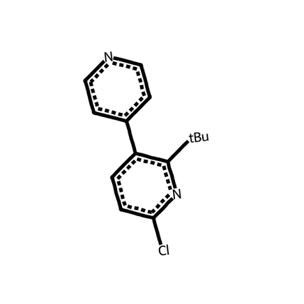 CC(C)(C)c1nc(Cl)ccc1-c1ccncc1